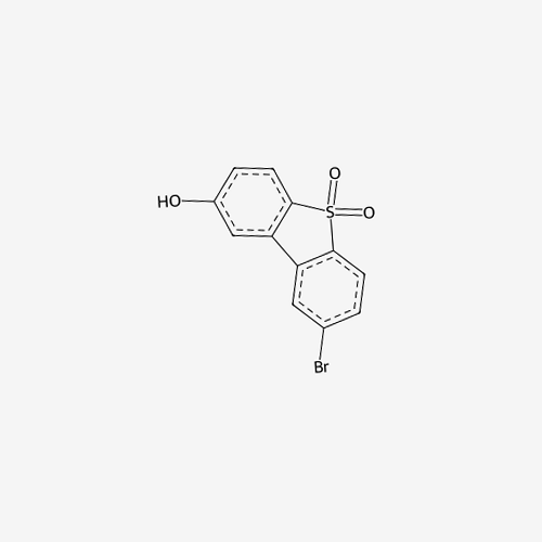 O=S1(=O)c2ccc(O)cc2-c2cc(Br)ccc21